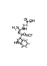 Cl.NC(=NC(=O)c1c[nH]c2ccccc12)NCCC(=O)O